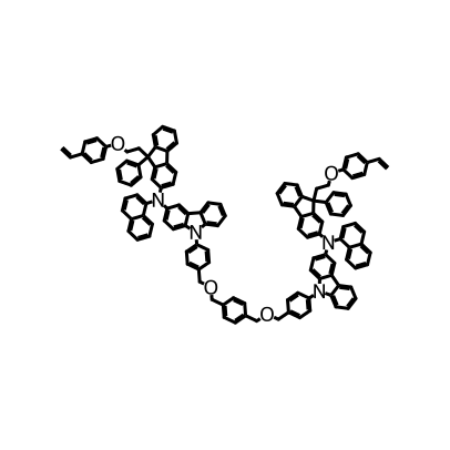 C=Cc1ccc(OCCC2(c3ccccc3)c3ccccc3-c3ccc(N(c4ccc5c(c4)c4ccccc4n5-c4ccc(COCc5ccc(COCc6ccc(-n7c8ccccc8c8cc(N(c9ccc%10c(c9)C(CCOc9ccc(C=C)cc9)(c9ccccc9)c9ccccc9-%10)c9cccc%10ccccc9%10)ccc87)cc6)cc5)cc4)c4cccc5ccccc45)cc32)cc1